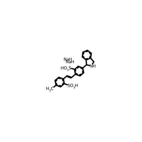 Cc1ccc(C=Cc2ccc(C3NCc4ccccc43)cc2S(=O)(=O)O)c(S(=O)(=O)O)c1.[NaH].[NaH]